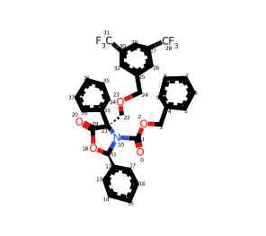 O=C(OCc1ccccc1)N1[C@@H](c2ccccc2)OC(=O)[C@@]1(COCc1cc(C(F)(F)F)cc(C(F)(F)F)c1)c1ccccc1